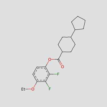 CCOc1ccc(OC(=O)C2CCC(C3CCCC3)CC2)c(F)c1F